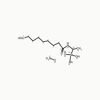 CCCCCCCCCCCCCCCCCC(=O)NC(C)[N+](O)(O)CCC.O=[N+]([O-])[O-]